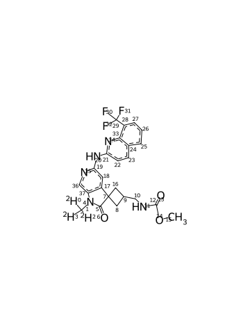 [2H]C([2H])([2H])N1C(=O)C2(CC(CNC(=O)OC)C2)c2cc(Nc3ccc4cccc(C(F)(F)F)c4n3)ncc21